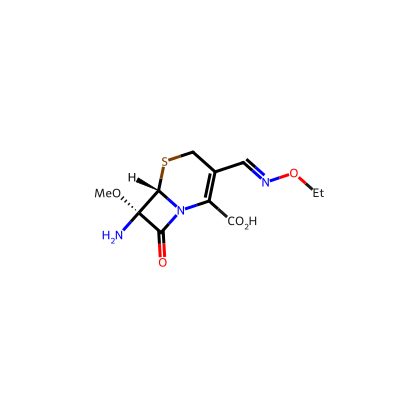 CCON=CC1=C(C(=O)O)N2C(=O)[C@](N)(OC)[C@@H]2SC1